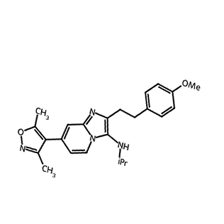 COc1ccc(CCc2nc3cc(-c4c(C)noc4C)ccn3c2NC(C)C)cc1